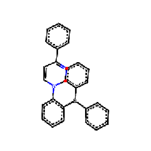 C1=CN(c2ccccc2B(c2ccccc2)c2ccccc2)CN=C1c1ccccc1